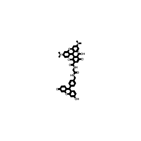 CN(C)c1ccc2c(-c3c(Cl)c(C(=O)NCC(=O)NCc4ccc(-c5c6ccc(=O)cc-6oc6cc(O)ccc56)cc4)cc(Cl)c3C(=O)O)c3ccc(=[N+](C)C)cc-3oc2c1